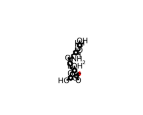 NC(Cc1cc(I)c(Oc2cc(I)c(O)c(I)c2)c(I)c1)C(=O)N1CCN(Cc2c(O)ccc3c2Oc2cc(O)ccc2C32OC(=O)c3ccccc32)CC1